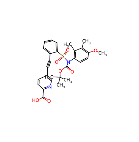 COc1ccc(N(C(=O)OC(C)(C)C)S(=O)(=O)c2ccccc2C#Cc2ccc(C(=O)O)nc2)c(C)c1C